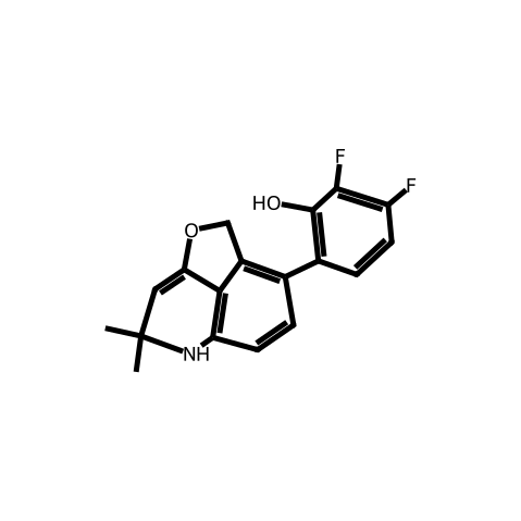 CC1(C)C=C2OCc3c(-c4ccc(F)c(F)c4O)ccc(c32)N1